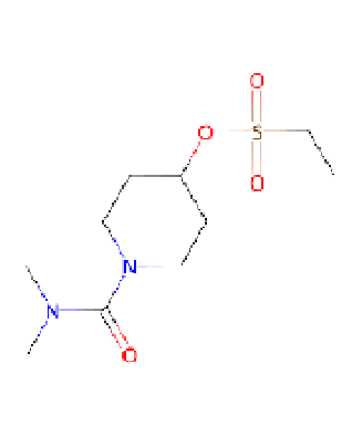 CCS(=O)(=O)OC1CCN(C(=O)N(C)C)CC1